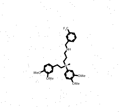 COc1ccc(CC[N+](C)(CCCNCc2cccc(C(F)(F)F)c2)c2ccc(OC)c(OC)c2)cc1OC